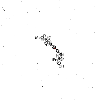 COC(=O)N[C@H](C(=O)N1CCC[C@H]1c1ncc(C23CCC(c4ccc(-c5cnc([C@@H]6CCCN6C(=O)[C@H](C(C)C)N6CCC(O)CC6)[nH]5)cc4)(CC2)CC3)[nH]1)C(C)C